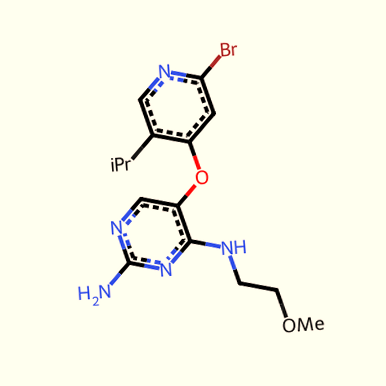 COCCNc1nc(N)ncc1Oc1cc(Br)ncc1C(C)C